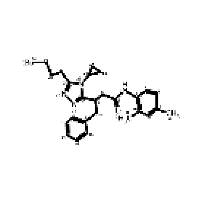 Cc1ccc(NC(=O)CC(Cc2ccccc2)c2nnc(CCCC(C)(C)C)n2C2CC2)c(C)c1